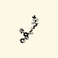 C[C@@H](CCCOCCNc1cc(-n2cnnc2)cc2c1cnn2C1CCCCO1)NC(=O)OC(C)(C)C